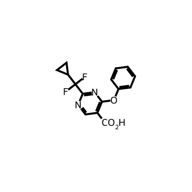 O=C(O)c1cnc(C(F)(F)C2CC2)nc1Oc1ccccc1